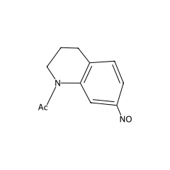 CC(=O)N1CCCc2ccc(N=O)cc21